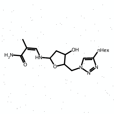 CCCCCCc1cn(CC2OC(N/C=C(/C)C(N)=O)CC2O)nn1